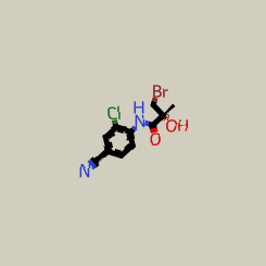 C[C@](O)(CBr)C(=O)Nc1ccc(C#N)cc1Cl